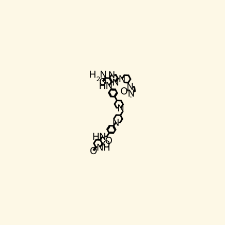 CN1CCN([C@@H]2CCCN(c3cnc(C(N)=O)c(Nc4ccc(C5CCN(CC6CCN(c7ccc(C(=O)NC8CCC(=O)NC8=O)cc7)CC6)CC5)cc4)n3)C2)C1=O